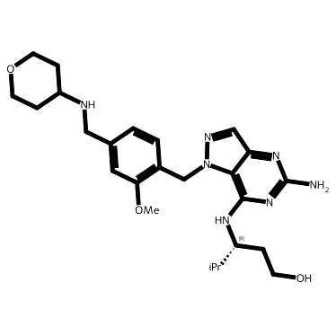 COc1cc(CNC2CCOCC2)ccc1Cn1ncc2nc(N)nc(N[C@H](CCO)C(C)C)c21